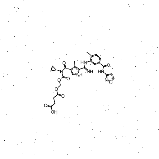 Cc1ccc(C(=O)Nc2ccon2)cc1NC(=N)c1[nH]cc(C(=O)N(C(=O)OCOC(=O)CCC(=O)O)C2CC2)c1C